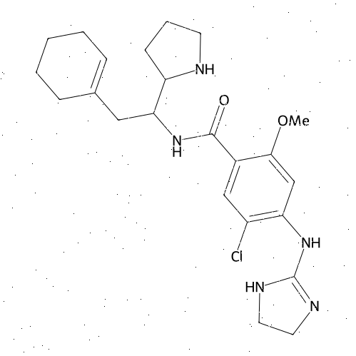 COc1cc(NC2=NCCN2)c(Cl)cc1C(=O)NC(CC1=CCCCC1)C1CCCN1